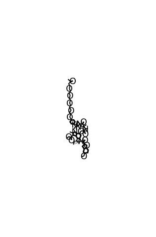 CC[C@@H]1CN(C(=O)c2cc3cc(OC)ccc3o2)c2cc(OC(=O)N(C)C(C)(C)C(=O)N(C)N=C(C)c3ccc(OCCOCCOCCOCCOCCC(C)=O)cc3)c3[nH]c(C)c(C(=O)OC)c3c21